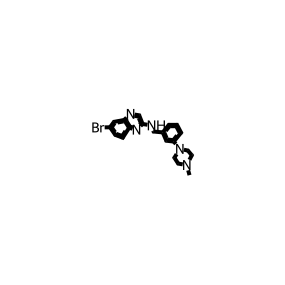 CN1CCN(c2cccc(CNc3cnc4cc(Br)ccc4n3)c2)CC1